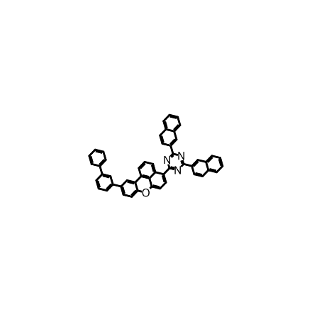 c1ccc(-c2cccc(-c3ccc4c(c3)-c3cccc5c(-c6nc(-c7ccc8ccccc8c7)nc(-c7ccc8ccccc8c7)n6)ccc(c35)O4)c2)cc1